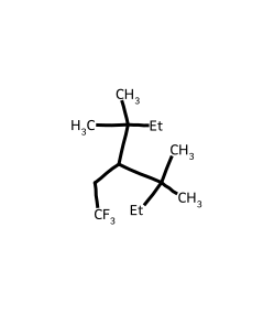 CCC(C)(C)C(CC(F)(F)F)C(C)(C)CC